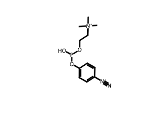 C[N+](C)(C)CCOP(O)Oc1ccc([N+]#N)cc1